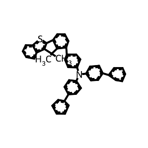 CC1(C)c2c(-c3ccc(N(c4ccc(-c5ccccc5)cc4)c4ccc(-c5ccccc5)cc4)cc3)cccc2-c2sc3ccccc3c21